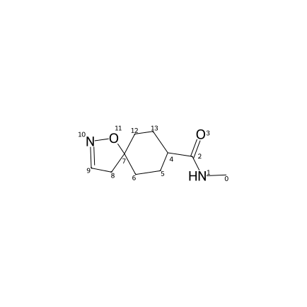 CNC(=O)C1CCC2(CC=NO2)CC1